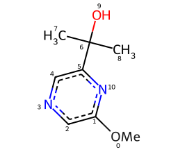 COc1cncc(C(C)(C)O)n1